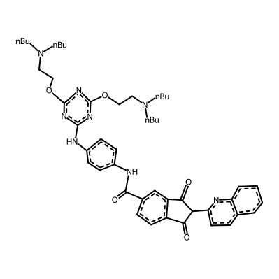 CCCCN(CCCC)CCOc1nc(Nc2ccc(NC(=O)c3ccc4c(c3)C(=O)C(c3ccc5ccccc5n3)C4=O)cc2)nc(OCCN(CCCC)CCCC)n1